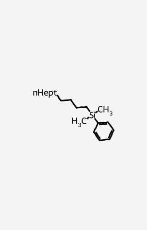 [CH2]CCCCCCCCCC[Si](C)(C)c1ccccc1